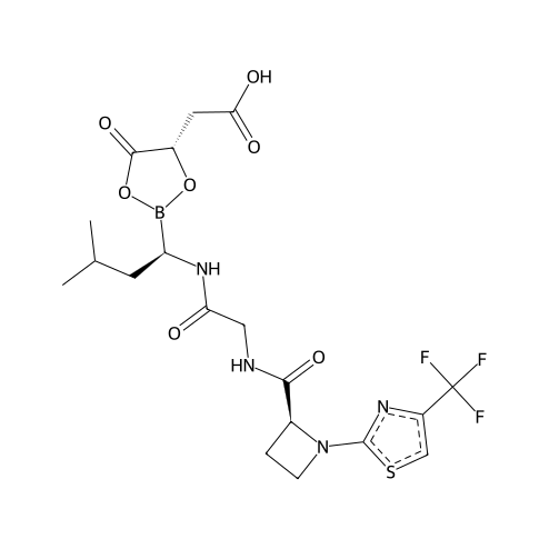 CC(C)C[C@H](NC(=O)CNC(=O)[C@@H]1CCN1c1nc(C(F)(F)F)cs1)B1OC(=O)[C@H](CC(=O)O)O1